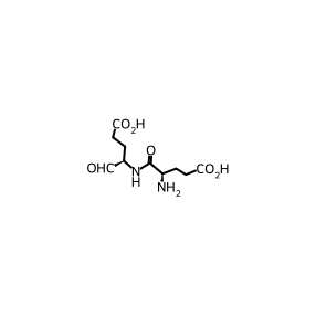 N[C@H](CCC(=O)O)C(=O)N[C@@H](C=O)CCC(=O)O